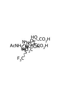 CC(=O)Nc1nc(SCCC(F)(F)F)nc2c1ncn2[C@@H]1O[C@H](C(O)CC(=O)O)[C@](O)(CC(=O)O)[C@]1(O)CC(=O)O